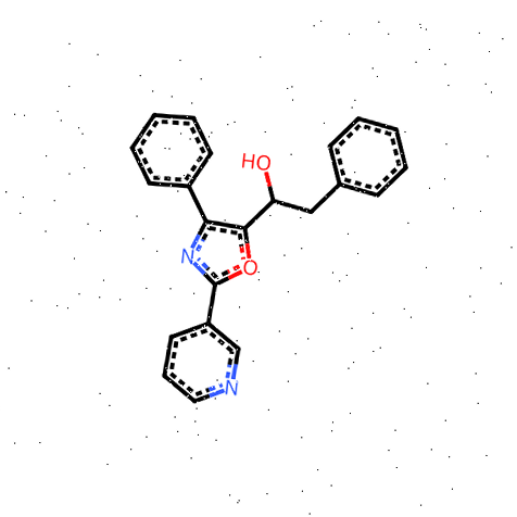 OC(Cc1ccccc1)c1oc(-c2cccnc2)nc1-c1ccccc1